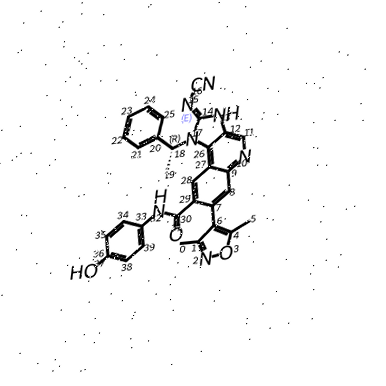 Cc1noc(C)c1-c1cc2ncc3[nH]/c(=N\C#N)n([C@H](C)c4ccccc4)c3c2cc1C(=O)Nc1ccc(O)cc1